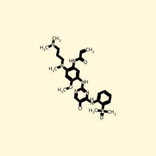 C=CC(=O)Nc1cc(Nc2ncc(Cl)c(Nc3ccccc3P(C)(C)=O)n2)c(OC)cc1N(C)CCCN(C)C